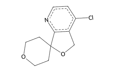 Clc1ccnc2c1COC21CCOCC1